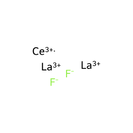 [Ce+3].[F-].[F-].[La+3].[La+3]